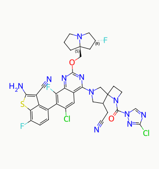 N#CCC1CN(c2nc(OC[C@@]34CCCN3C[C@H](F)C4)nc3c(F)c(-c4ccc(F)c5sc(N)c(C#N)c45)c(Cl)cc23)CC12CCN2C(=O)n1cnc(Cl)n1